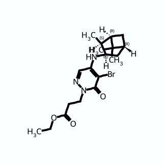 CCOC(=O)CCn1ncc(N[C@@H]2C[C@H]3C[C@H]([C@@H]2C)C3(C)C)c(Br)c1=O